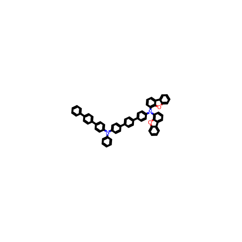 c1ccc(-c2ccc(-c3ccc(N(c4ccccc4)c4ccc(-c5ccc(-c6ccc(N(c7cccc8c7oc7ccccc78)c7cccc8c7oc7ccccc78)cc6)cc5)cc4)cc3)cc2)cc1